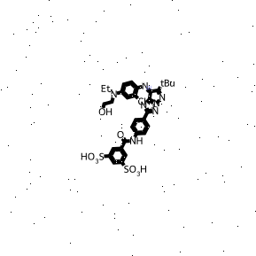 CCN(CCO)c1ccc(/N=C2/C(C(C)(C)C)=Nn3nc(-c4ccc(NC(=O)c5cc(S(=O)(=O)O)cc(S(=O)(=O)O)c5)cc4)nc32)c(C)c1